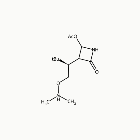 CC(=O)OC1NC(=O)C1[C@@H](CO[SiH](C)C)C(C)(C)C